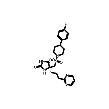 O=C1NC(=O)[C@@](CCCc2ncccn2)(CS(=O)(=O)N2CCC(c3ccc(F)cc3)CC2)N1